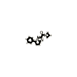 O=C(c1nc2n(n1)C(c1ccccc1)CC2)N1CCC1